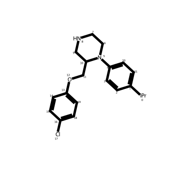 CC(C)c1ccc(N2CCNCC2COc2ccc(Cl)cc2)cc1